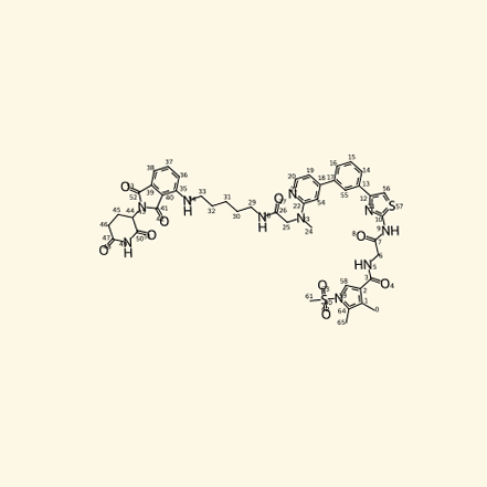 Cc1c(C(=O)NCC(=O)Nc2nc(-c3cccc(-c4ccnc(N(C)CC(=O)NCCCCCNc5cccc6c5C(=O)N(C5CCC(=O)NC5=O)C6=O)c4)c3)cs2)cn(S(C)(=O)=O)c1C